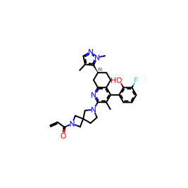 C=CC(=O)N1CC2(CCN(c3nc4c(c(-c5cccc(F)c5O)c3C)CC[C@H](c3c(C)cnn3C)C4)C2)C1